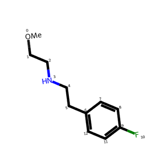 COCCNCCc1ccc(F)cc1